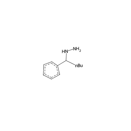 CCCCC(NN)c1ccccc1